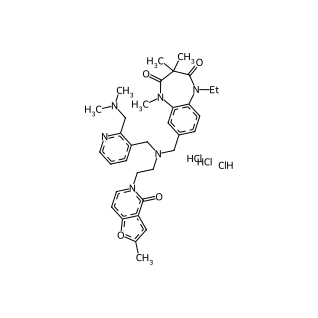 CCN1C(=O)C(C)(C)C(=O)N(C)c2cc(CN(CCn3ccc4oc(C)cc4c3=O)Cc3cccnc3CN(C)C)ccc21.Cl.Cl.Cl